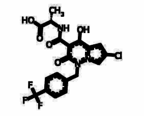 C[C@H](NC(=O)c1c(O)c2cc(Cl)cn2n(Cc2ccc(C(F)(F)F)cc2)c1=O)C(=O)O